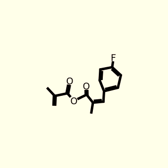 C=C(C)C(=O)OC(=O)C(C)=Cc1ccc(F)cc1